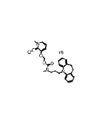 CN1C=CC=C(OCOC(=O)N(C)CCCN2c3ccccc3CCc3ccccc32)C1=C=O.I